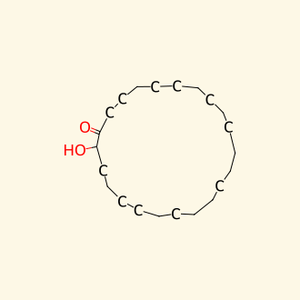 O=C1CCCCCCCCCCCCCCCCCCCCC1O